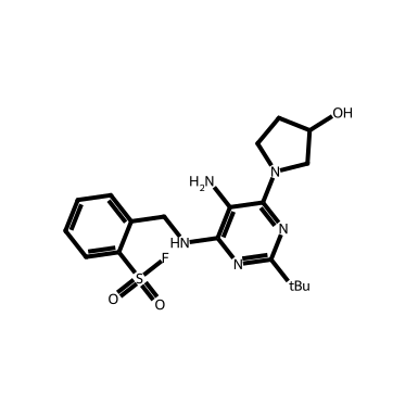 CC(C)(C)c1nc(NCc2ccccc2S(=O)(=O)F)c(N)c(N2CCC(O)C2)n1